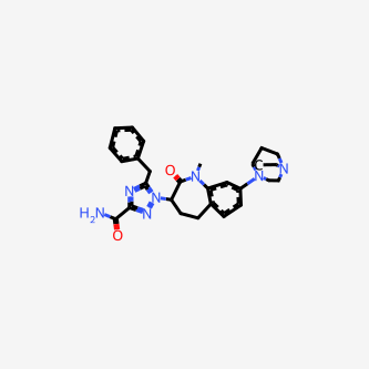 CN1C(=O)C(n2nc(C(N)=O)nc2Cc2ccccc2)CCc2ccc(N3CCN4CCC3CC4)cc21